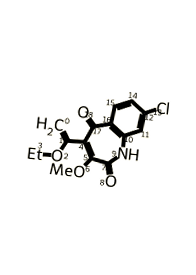 C=C(OCC)c1c(OC)c(=O)[nH]c2cc(Cl)ccc2c1=O